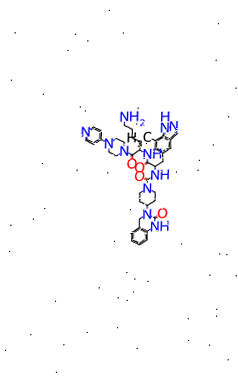 Cc1cc(CC(NC(=O)N2CCC(N3Cc4ccccc4NC3=O)CC2)C(=O)NC(CCCCN)C(=O)N2CCN(c3ccncc3)CC2)cc2cn[nH]c12